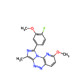 COc1ccc2nnc3c(C)nc(-c4ccc(F)c(OC)c4)n3c2n1